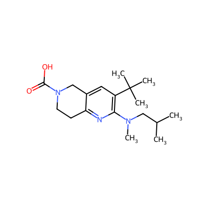 CC(C)CN(C)c1nc2c(cc1C(C)(C)C)CN(C(=O)O)CC2